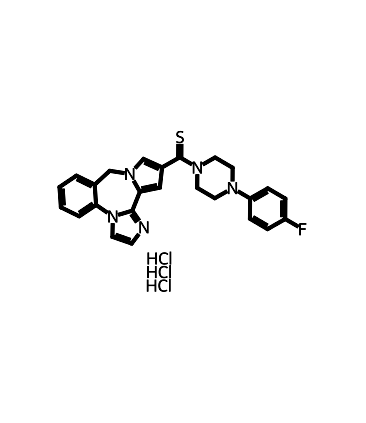 Cl.Cl.Cl.Fc1ccc(N2CCN(C(=S)c3cc4n(c3)Cc3ccccc3-n3ccnc3-4)CC2)cc1